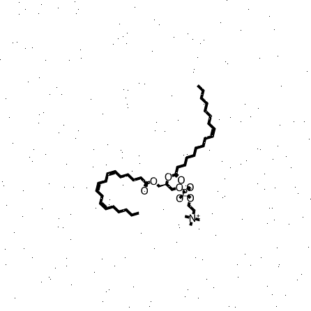 CCCCC/C=C\C/C=C\C/C=C\CCCCC(=O)OC[C@H](COP(=O)([O-])OCC[N+](C)(C)C)OC(=O)CCCCCCC/C=C\CCCCCCC